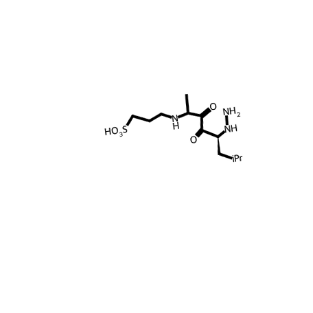 CC(C)C[C@H](NN)C(=O)C(=O)C(C)NCCCS(=O)(=O)O